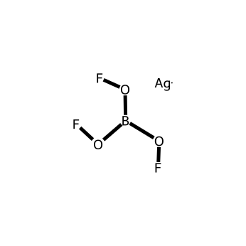 FOB(OF)OF.[Ag]